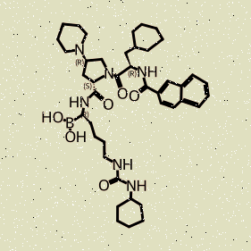 O=C(NCCCC[C@H](NC(=O)[C@@H]1C[C@@H](N2CCCCC2)CN1C(=O)[C@@H](CC1CCCCC1)NC(=O)c1ccc2ccccc2c1)B(O)O)NC1CCCCC1